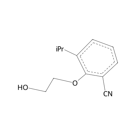 CC(C)c1cccc(C#N)c1OCCO